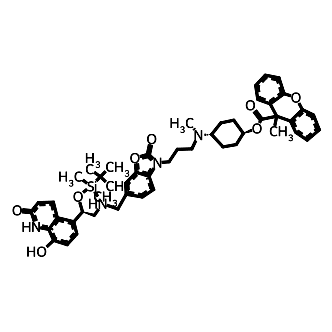 CN(CCCn1c(=O)oc2cc(CNC[C@H](O[Si](C)(C)C(C)(C)C)c3ccc(O)c4[nH]c(=O)ccc34)ccc21)[C@H]1CC[C@H](OC(=O)C2(C)c3ccccc3Oc3ccccc32)CC1